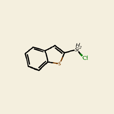 Cl[SiH2]c1cc2ccccc2s1